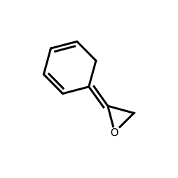 C1=CCC(=C2CO2)C=C1